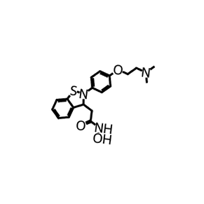 CN(C)CCOc1ccc(N2Sc3ccccc3C2CC(=O)NO)cc1